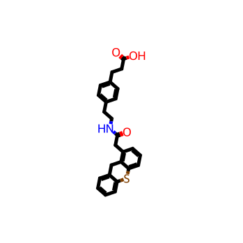 O=C(O)CCc1ccc(CCNC(=O)Cc2cccc3c2Cc2ccccc2S3)cc1